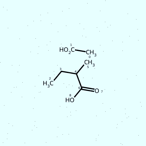 CC(=O)O.CCC(C)C(=O)O